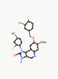 COc1cc2ncc3c(c2cc1OCc1ccc(F)c(Cl)c1)n(-c1ccc(C#N)cc1F)c(=O)n3C